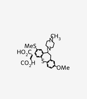 COc1ccc2c(c1)CC(N1CCN(C)CC1)c1cc(SC)ccc1S2.O=C(O)C=CC(=O)O